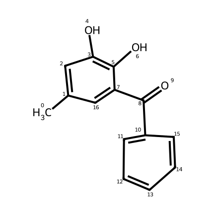 Cc1cc(O)c(O)c(C(=O)c2ccccc2)c1